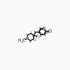 CN1CCC(F)(Cc2ccc(Cl)nc2)CC1